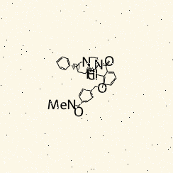 CNC(=O)c1ccc(COc2cccc(C(=O)N3CCN4C[C@@H](c5ccccc5)CC[C@@H]4C3)c2Cl)cc1